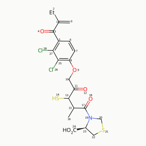 C=C(CC)C(=O)c1ccc(OCC(=O)C(S)C(C)C(=O)N2CSC[C@H]2C(=O)O)c(Cl)c1Cl